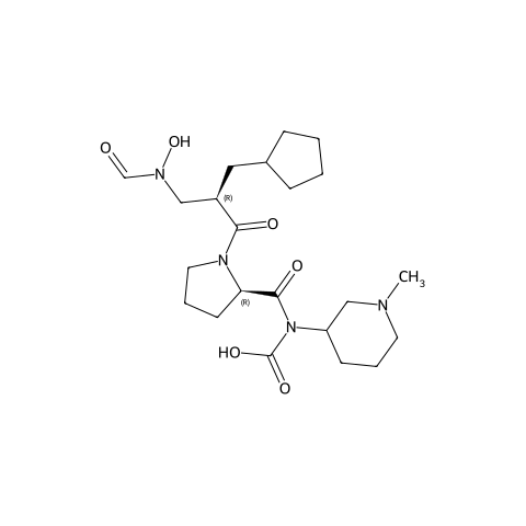 CN1CCCC(N(C(=O)O)C(=O)[C@H]2CCCN2C(=O)[C@H](CC2CCCC2)CN(O)C=O)C1